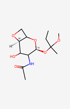 CCC(C)(OC)O[C@@H]1OC2CO[C@@H]2C(O)C1NC(C)=O